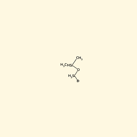 [B][SiH2]O[SiH](C)C